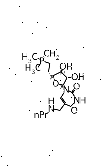 C=P(C)(C)CC[C@H]1O[C@@H](n2cc(CNCCC)c(=O)[nH]c2=O)C(O)[C@@H]1O